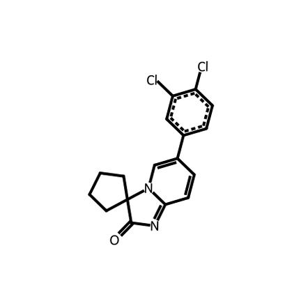 O=C1N=C2C=CC(c3ccc(Cl)c(Cl)c3)=CN2C12CCCC2